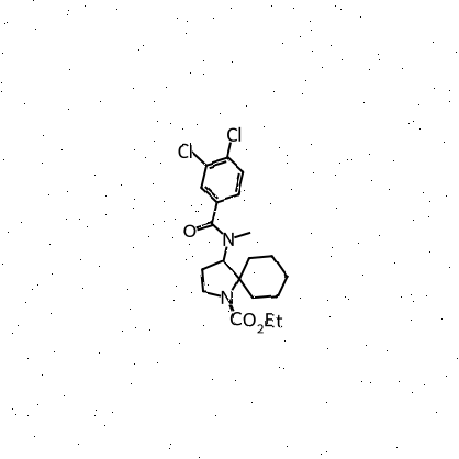 CCOC(=O)N1CCC(N(C)C(=O)c2ccc(Cl)c(Cl)c2)C12CCCCC2